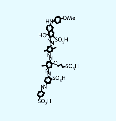 COc1ccc(Nc2ccc3c(O)c(N=Nc4cc(C)c(N=Nc5cc(C)c(N=Nc6ccc(N=Nc7ccc(S(=O)(=O)O)cc7)cc6S(=O)(=O)O)cc5OCCCS(=O)(=O)O)cc4C)c(S(=O)(=O)O)cc3c2)cc1